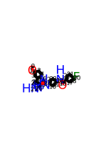 COc1ccc2nc(Nc3ccc(NC(=O)c4ccc(F)cc4)cc3)c3n[nH]cc3c2c1